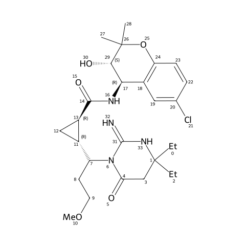 CCC1(CC)CC(=O)N(C(CCOC)[C@@H]2C[C@H]2C(=O)N[C@@H]2c3cc(Cl)ccc3OC(C)(C)[C@H]2O)C(=N)N1